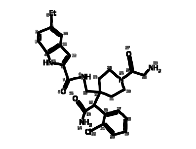 CCc1ccc2[nH]c(C(=O)NCC3(C(C(N)=O)c4ccccc4Cl)CCN(C(=O)CN)CC3)cc2c1